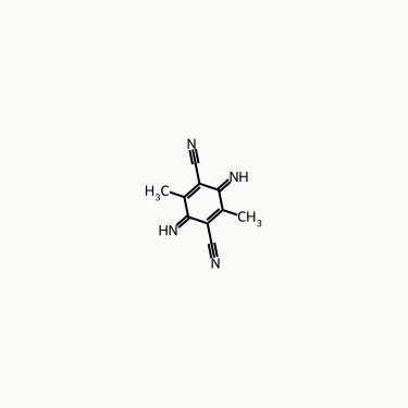 CC1=C(C#N)C(=N)C(C)=C(C#N)C1=N